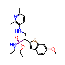 CCNP(=O)(OCC)C(CNc1ccc(C)nc1C)c1cc2ccc(OC)cc2s1